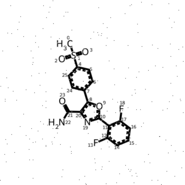 CS(=O)(=O)c1ccc(-c2oc(-c3c(F)cccc3F)nc2C(N)=O)cc1